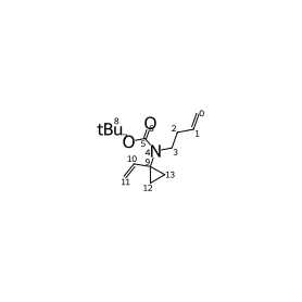 C=CCCN(C(=O)OC(C)(C)C)C1(C=C)CC1